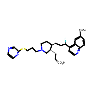 COc1ccc2nccc([C@H](F)CC[C@@H]3CCN(CCCSc4cnccn4)C[C@H]3CCC(=O)O)c2c1